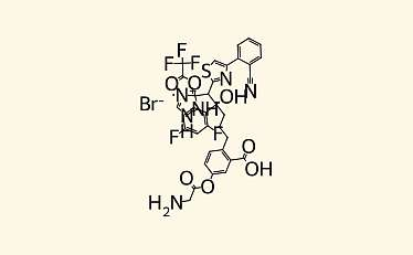 N#Cc1ccccc1-c1csc(C(C2(OC(=O)C(F)(F)F)[N+]=CNN2)[C@](O)(CCCc2ccc(OC(=O)CN)cc2C(=O)O)c2ccc(F)cc2F)n1.[Br-]